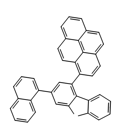 c1ccc2c(-c3cc(-c4ccc5ccc6cccc7ccc4c5c67)c4c(c3)oc3ccccc34)cccc2c1